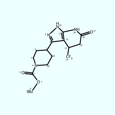 CC(C)(C)OC(=O)N1CCC(c2n[nH]c3c2C(C(F)(F)F)CC(=O)N3)CC1